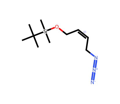 CC(C)(C)[Si](C)(C)OC/C=C\CN=[N+]=[N-]